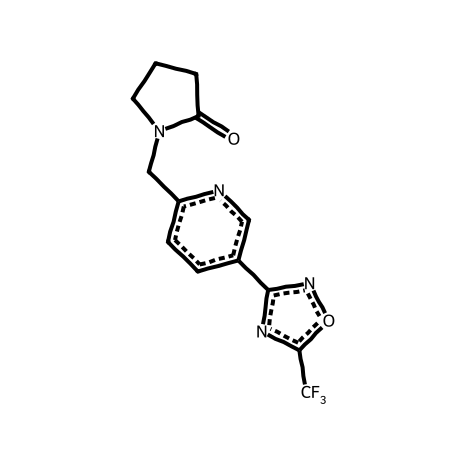 O=C1CCCN1Cc1ccc(-c2noc(C(F)(F)F)n2)cn1